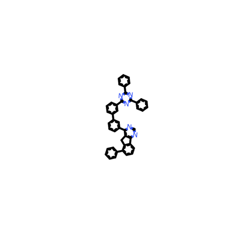 c1ccc(-c2nc(-c3ccccc3)nc(-c3cccc(-c4cccc(-c5ncnc6c5Cc5c(-c7ccccc7)cccc5-6)c4)c3)n2)cc1